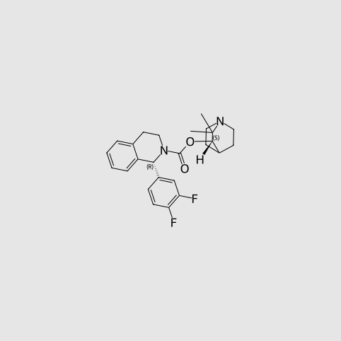 CC1(C)[C@@H](OC(=O)N2CCc3ccccc3[C@H]2c2ccc(F)c(F)c2)C2CCN1CC2